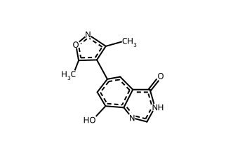 Cc1noc(C)c1-c1cc(O)c2nc[nH]c(=O)c2c1